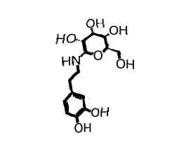 OC[C@H]1O[C@@H](NCCc2ccc(O)c(O)c2)[C@H](O)[C@@H](O)[C@H]1O